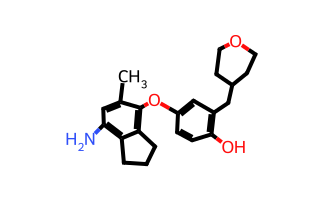 Cc1cc(N)c2c(c1Oc1ccc(O)c(CC3CCOCC3)c1)CCC2